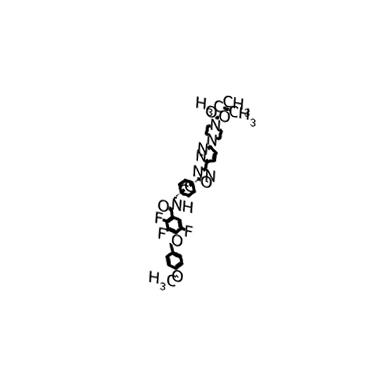 COc1ccc(COc2c(F)cc(C(=O)NC[C@]34CC[C@](c5nc(-c6ccc(N7CCN(C(=O)OC(C)(C)C)CC7)nn6)no5)(CC3)CC4)c(F)c2F)cc1